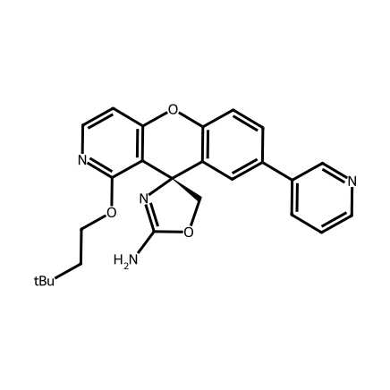 CC(C)(C)CCOc1nccc2c1[C@]1(COC(N)=N1)c1cc(-c3cccnc3)ccc1O2